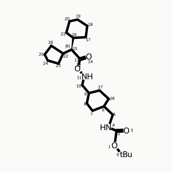 CC(C)(C)OC(=O)NCC1CCC(CNOC(=O)[C@H](C2CCCCC2)C2CCCC2)CC1